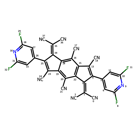 N#CC(C#N)=C1C(c2cc(F)nc(F)c2)=C(C#N)c2c(C#N)c3c(c(C#N)c21)C(C#N)=C(c1cc(F)nc(F)c1)C3=C(C#N)C#N